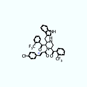 O=C(c1ccccc1C(F)(F)F)C1CNC(Cc2c[nH]c3ccccc23)C(C(=O)c2ccccc2C(F)(F)F)N1C(=O)/C=C/c1ccc(Cl)cc1